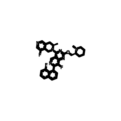 C[C@@H]1Cc2cncc(F)c2CN1c1nc(OC[C@@H]2CCCCN2C)nc2c(F)c(-c3cccc4cccc(F)c34)ncc12